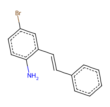 Nc1ccc(Br)cc1C=Cc1ccccc1